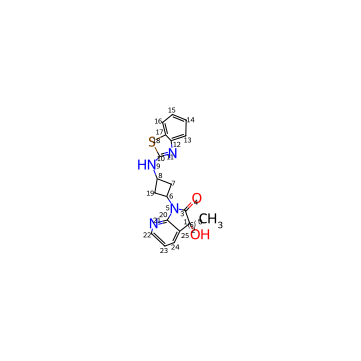 C[C@@]1(O)C(=O)N(C2CC(Nc3nc4ccccc4s3)C2)c2ncccc21